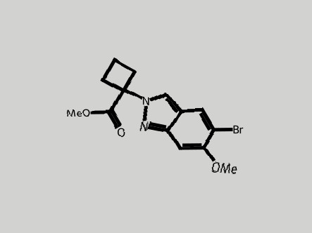 COC(=O)C1(n2cc3cc(Br)c(OC)cc3n2)CCC1